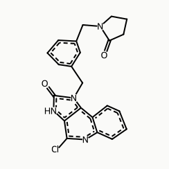 O=C1CCCN1Cc1cccc(Cn2c(=O)[nH]c3c(Cl)nc4ccccc4c32)c1